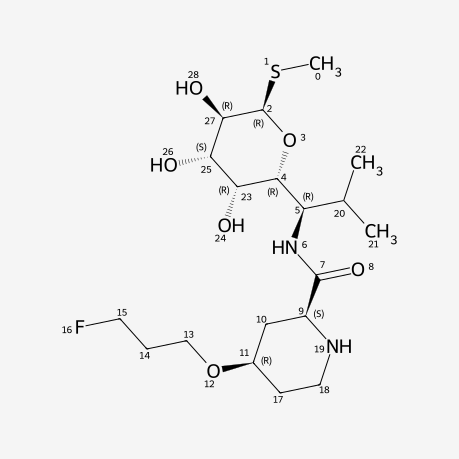 CS[C@H]1O[C@H]([C@H](NC(=O)[C@@H]2C[C@H](OCCCF)CCN2)C(C)C)[C@H](O)[C@H](O)[C@H]1O